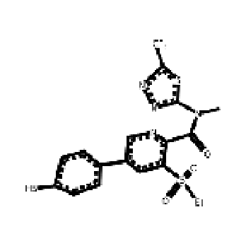 CCS(=O)(=O)c1cc(-c2ccc(S)cc2)cnc1C(=O)N(C)c1nnc(C(F)(F)F)s1